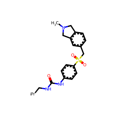 CC(C)CNC(=O)Nc1ccc(S(=O)(=O)Cc2ccc3c(c2)CN(C)C3)cc1